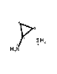 NC1CC1.[SiH4]